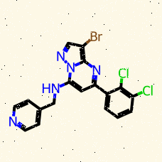 Clc1cccc(-c2cc(NCc3ccncc3)n3ncc(Br)c3n2)c1Cl